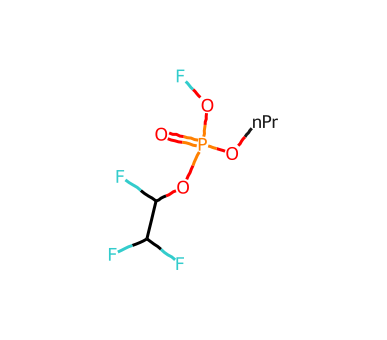 CCCOP(=O)(OF)OC(F)C(F)F